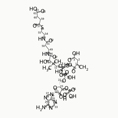 C=C(CC(=O)O)C(=O)O.CC(C)(COP(=O)(O)OP(=O)(O)OC[C@H]1O[C@@H](n2cnc3c(N)ncnc32)[C@H](O)[C@@H]1OP(=O)(O)O)[C@@H](O)C(=O)NCCC(=O)NCCSC(=O)CCC(=O)O